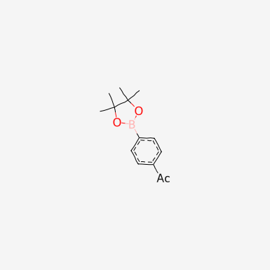 CC(=O)c1ccc(B2OC(C)(C)C(C)(C)O2)cc1